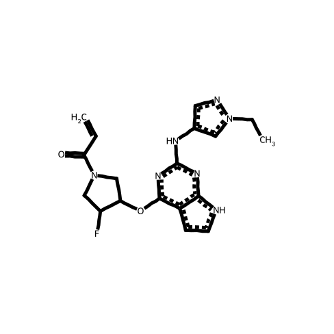 C=CC(=O)N1CC(F)C(Oc2nc(Nc3cnn(CC)c3)nc3[nH]ccc23)C1